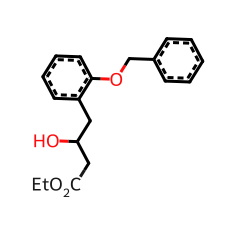 CCOC(=O)CC(O)Cc1ccccc1OCc1ccccc1